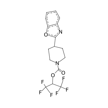 O=C(OC(C(F)(F)F)C(F)(F)F)N1CCC(c2nc3ccccc3o2)CC1